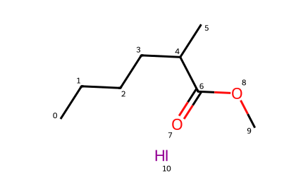 CCCCC(C)C(=O)OC.I